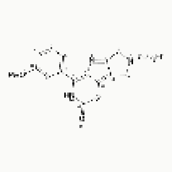 CCOC(=O)N1Cc2nc3c(-c4cccc(OC)c4)[nH]c(=O)sc-3c2C1